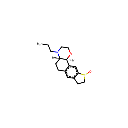 CCCN1CCO[C@H]2c3cc4c(cc3CC[C@@H]21)CC[S+]4[O-]